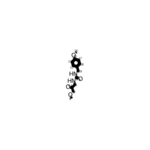 COCC(=O)CNC(=O)NCc1ccc(OC)cc1